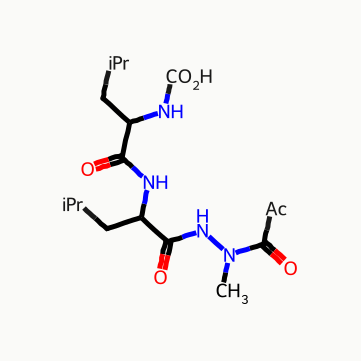 CC(=O)C(=O)N(C)NC(=O)C(CC(C)C)NC(=O)C(CC(C)C)NC(=O)O